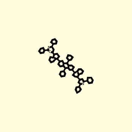 c1ccc(-c2cc(-c3ccc(-c4ccc5c(-c6ccccc6)c6cc(-c7ccc(-c8cc(-c9ccccc9)nc(-c9ccccc9)c8)c8ccccc78)ccc6c(-c6ccccc6)c5c4)c4ccccc34)cc(-c3ccccc3)n2)cc1